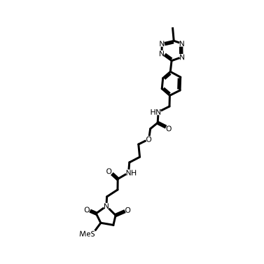 CSC1CC(=O)N(CCC(=O)NCCCOCC(=O)NCc2ccc(-c3nnc(C)nn3)cc2)C1=O